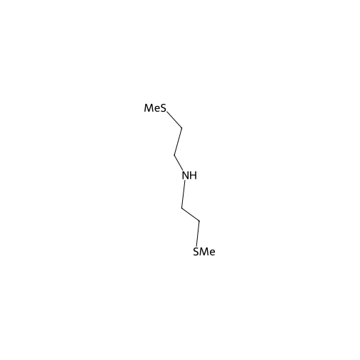 CSCCNCCSC